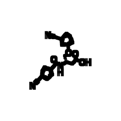 N#Cc1ccc(C(=O)N[C@H](COc2cccc(C#N)c2)CC(=O)O)cc1